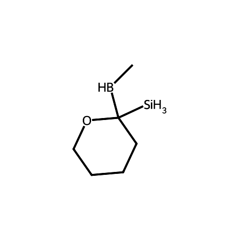 CBC1([SiH3])CCCCO1